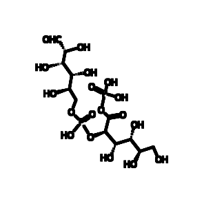 O=C[C@H](O)[C@@H](O)[C@H](O)[C@H](O)COP(=O)(O)O[C@@H](C(=O)OP(=O)(O)O)[C@@H](O)[C@H](O)[C@H](O)CO